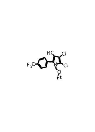 CCOCn1c(Cl)c(Cl)c(C#N)c1-c1ccc(C(F)(F)F)cc1